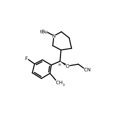 Cc1ccc(F)cc1[C@H](OCC#N)C1CCCN(C(C)(C)C)C1